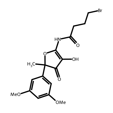 COc1cc(OC)cc(C2(C)OC(NC(=O)CCCBr)=C(O)C2=O)c1